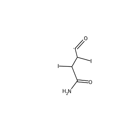 NC(=O)C(I)C(I)[C]=O